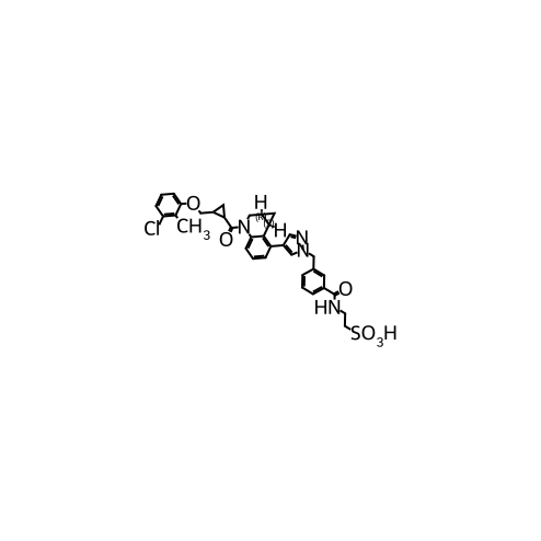 Cc1c(Cl)cccc1OCC1CC1C(=O)N1C[C@@H]2C[C@@H]2c2c(-c3cnn(Cc4cccc(C(=O)NCCS(=O)(=O)O)c4)c3)cccc21